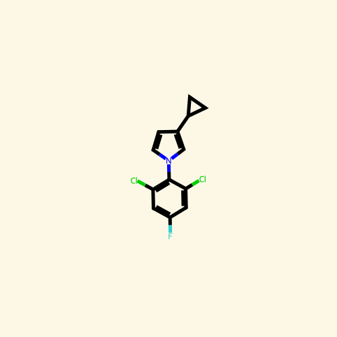 Fc1cc(Cl)c(-n2ccc(C3CC3)c2)c(Cl)c1